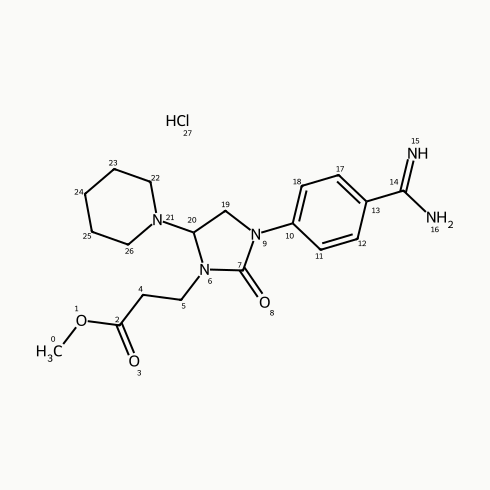 COC(=O)CCN1C(=O)N(c2ccc(C(=N)N)cc2)CC1N1CCCCC1.Cl